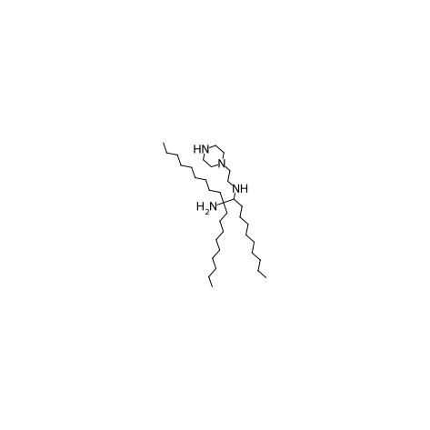 CCCCCCCCCC(NCCN1CCNCC1)C(N)(CCCCCCCCC)CCCCCCCCC